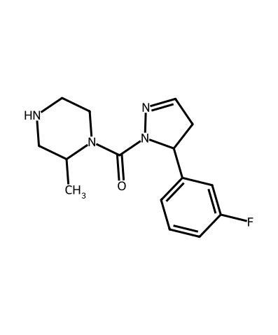 CC1CNCCN1C(=O)N1N=CCC1c1cccc(F)c1